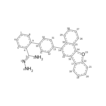 N/N=C(\N)c1ccccc1-c1ccc(-c2cc3c4ccccc4oc3c3ccccc23)cc1